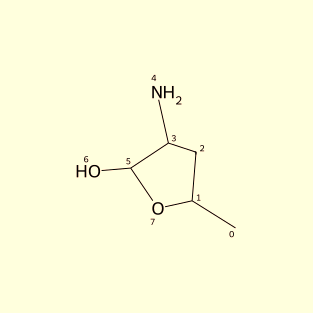 CC1CC(N)C(O)O1